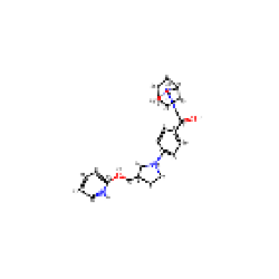 O=C(c1ccc(N2CCC(COc3ccccn3)C2)cc1)N1CC2CCC(CC2)C1